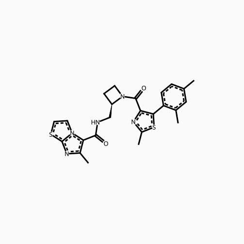 Cc1ccc(-c2sc(C)nc2C(=O)N2CC[C@@H]2CNC(=O)c2c(C)nc3sccn23)c(C)c1